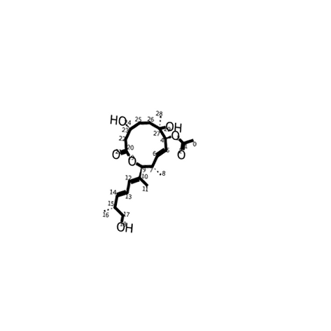 CC(=O)O[C@H]1/C=C/[C@H](C)[C@@H](/C(C)=C/C=C/[C@@H](C)CO)OC(=O)C[C@H](O)CC[C@@]1(C)O